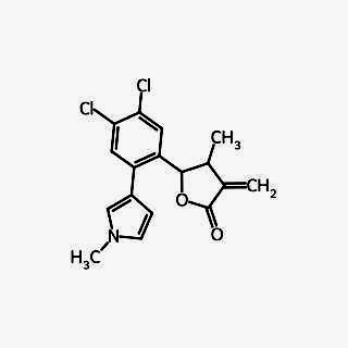 C=C1C(=O)OC(c2cc(Cl)c(Cl)cc2-c2ccn(C)c2)C1C